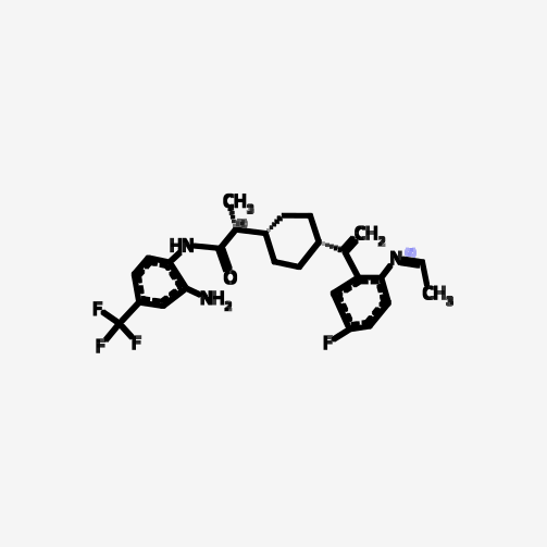 C=C(c1cc(F)ccc1/N=C\C)[C@H]1CC[C@@H]([C@@H](C)C(=O)Nc2ccc(C(F)(F)F)cc2N)CC1